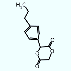 CCCc1ccc(C2OC(=O)COC2=O)cc1